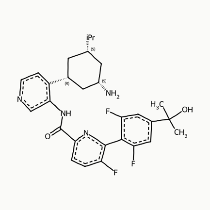 CC(C)[C@@H]1C[C@H](N)C[C@H](c2ccncc2NC(=O)c2ccc(F)c(-c3c(F)cc(C(C)(C)O)cc3F)n2)C1